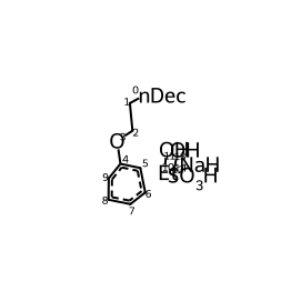 CCCCCCCCCCCCOc1ccccc1.CCO.O=S(=O)(O)O.[NaH]